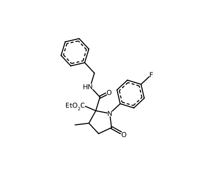 CCOC(=O)C1(C(=O)NCc2ccccc2)C(C)CC(=O)N1c1ccc(F)cc1